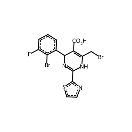 O=C(O)C1=C(CBr)NC(c2nccs2)=NC1c1cccc(F)c1Br